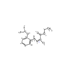 CCOC(=O)/C(Cl)=N\Nc1ccccc1OC(F)F